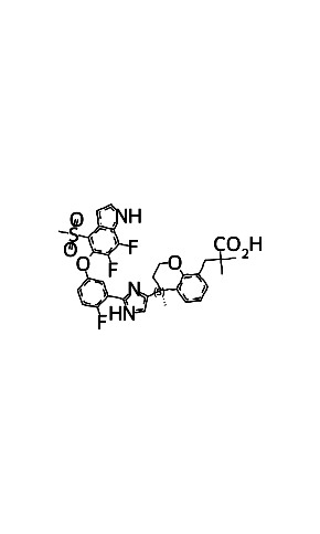 CC(C)(Cc1cccc2c1OCC[C@]2(C)c1c[nH]c(-c2cc(Oc3c(F)c(F)c4[nH]ccc4c3S(C)(=O)=O)ccc2F)n1)C(=O)O